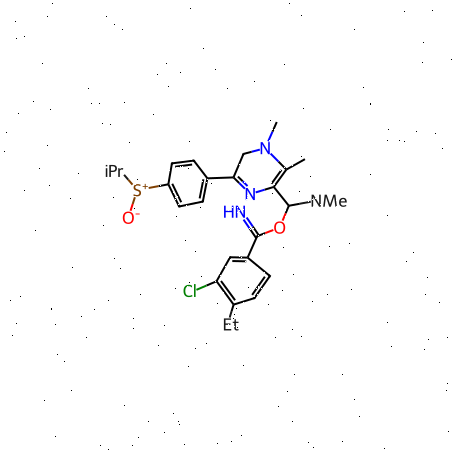 CCc1ccc(C(=N)OC(NC)C2=C(C)N(C)CC(c3ccc([S+]([O-])C(C)C)cc3)=N2)cc1Cl